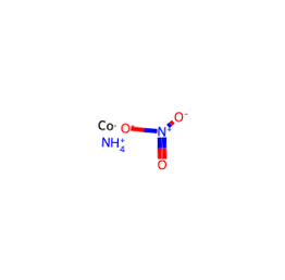 O=[N+]([O-])[O-].[Co].[NH4+]